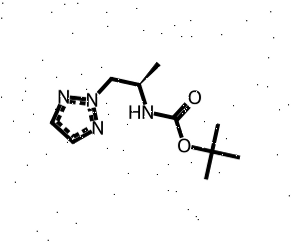 C[C@H](Cn1nccn1)NC(=O)OC(C)(C)C